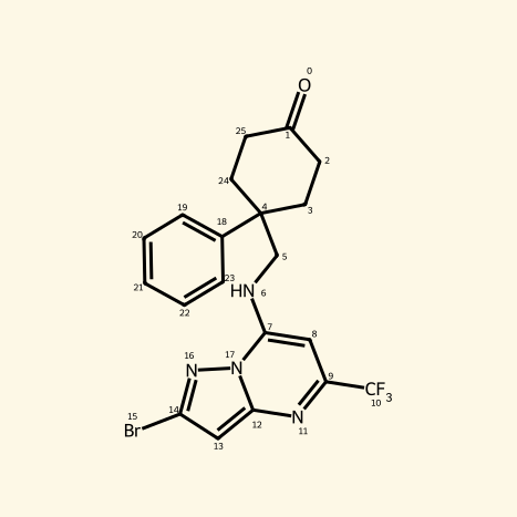 O=C1CCC(CNc2cc(C(F)(F)F)nc3cc(Br)nn23)(c2ccccc2)CC1